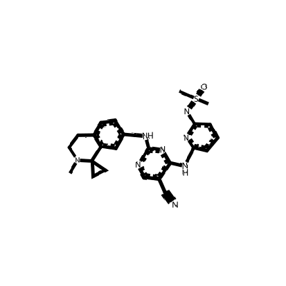 CN1CCc2ccc(Nc3ncc(C#N)c(Nc4cccc(N=S(C)(C)=O)n4)n3)cc2C12CC2